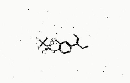 C/C=C(/CC)c1ccc(OS(=O)(=O)C(F)(F)F)c(Cl)c1